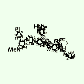 CNC[C@]1(C)CCC(c2ccc(Cl)cc2)=C(CN2CCN(c3ccc(C(=O)NS(=O)(=O)c4ccc(NCCCN5CCOCC5)c(S(=O)(=O)C(F)(F)F)c4)c(Oc4cnc5[nH]ccc5c4)c3)CC2)C1